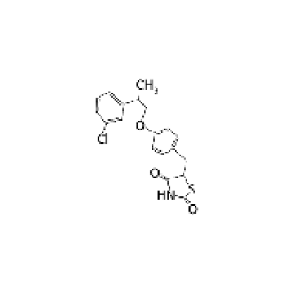 CC(COc1ccc(CC2SC(=O)NC2=O)cc1)c1cccc(Cl)c1